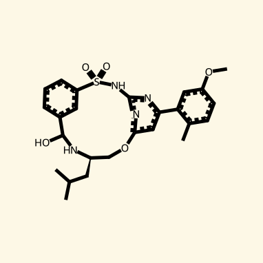 COc1ccc(C)c(-c2cc3nc(n2)NS(=O)(=O)c2cccc(c2)C(O)N[C@H](CC(C)C)CO3)c1